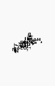 CC(Sc1nnn[nH]1)C1=C(C(=O)O)N2C(=O)[C@@H](NC(=O)C(=NOP(C)(C)=O)c3nccc(N)n3)[C@@H]2SC1